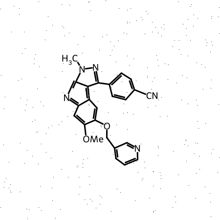 COc1cc2ncc3c(c(-c4ccc(C#N)cc4)nn3C)c2cc1OCc1cccnc1